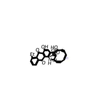 CCc1cccc2c1C(=O)c1c(O)cc3c(c1C2=O)N[C@H]1C#C/C=C\C#C[C@@H](O)[C@@]32O[C@@]12[C@@H](C)O